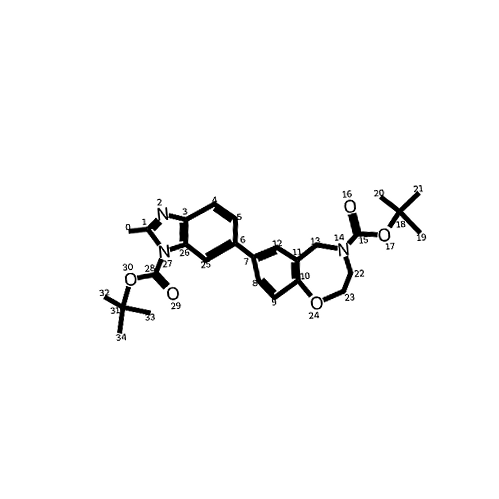 Cc1nc2ccc(-c3ccc4c(c3)CN(C(=O)OC(C)(C)C)CCO4)cc2n1C(=O)OC(C)(C)C